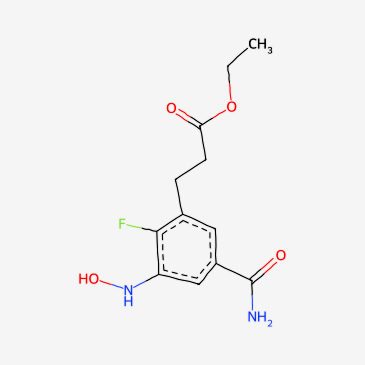 CCOC(=O)CCc1cc(C(N)=O)cc(NO)c1F